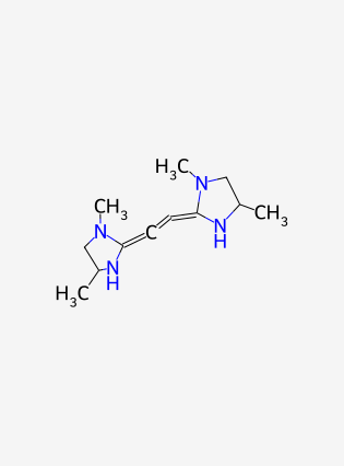 CC1CN(C)C(=C=C=C2NC(C)CN2C)N1